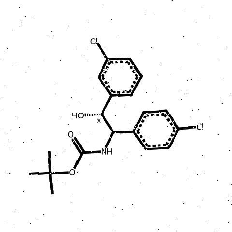 CC(C)(C)OC(=O)NC(c1ccc(Cl)cc1)[C@H](O)c1cccc(Cl)c1